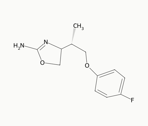 C[C@H](COc1ccc(F)cc1)C1COC(N)=N1